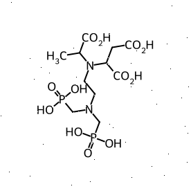 CC(C(=O)O)N(CCN(CP(=O)(O)O)CP(=O)(O)O)C(CC(=O)O)C(=O)O